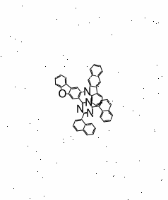 c1ccc2cc3c(cc2c1)c1ccccc1n3-c1cc2c(cc1-c1nc(-c3cccc4ccccc34)nc(-c3cccc4ccccc34)n1)oc1ccccc12